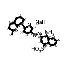 Cc1ccc2cccc(-c3ccc(/N=N/c4cc(S(=O)(=O)O)c5ccccc5c4N)cn3)c2n1.[NaH]